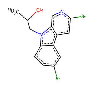 O=C(O)C(O)Cn1c2ccc(Br)cc2c2cc(Br)ncc21